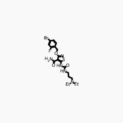 CCN(CC)CCCNC(=O)Nc1snc(OCc2ccc(Br)cc2F)c1C(N)=O